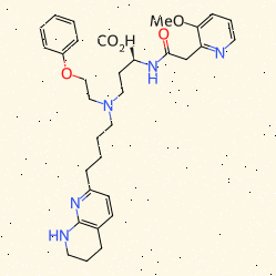 COc1cccnc1CC(=O)N[C@@H](CCN(CCCCc1ccc2c(n1)NCCC2)CCOc1ccccc1)C(=O)O